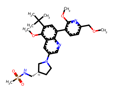 COCc1ccc(-c2cc(C(C)(C)C)c(OC)c3cc(N4CC[C@H](CNS(C)(=O)=O)C4)cnc23)c(OC)n1